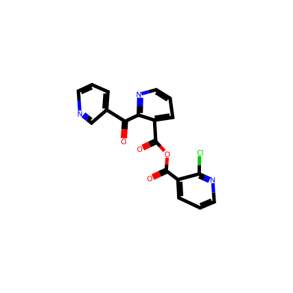 O=C(OC(=O)c1cccnc1C(=O)c1cccnc1)c1cccnc1Cl